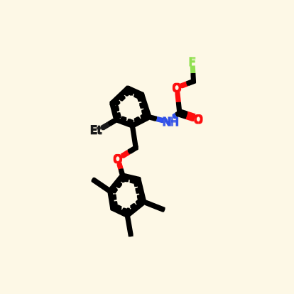 CCc1cccc(NC(=O)OCF)c1COc1cc(C)c(C)cc1C